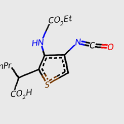 CCCC(C(=O)O)c1scc(N=C=O)c1NC(=O)OCC